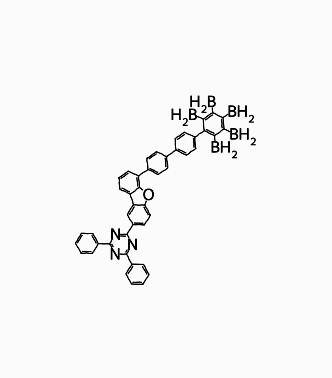 Bc1c(B)c(B)c(-c2ccc(-c3ccc(-c4cccc5c4oc4ccc(-c6nc(-c7ccccc7)nc(-c7ccccc7)n6)cc45)cc3)cc2)c(B)c1B